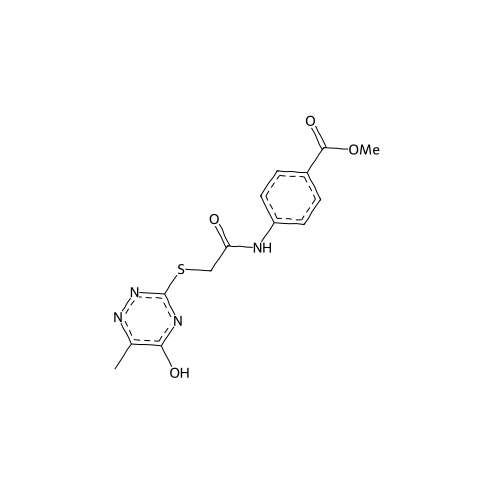 COC(=O)c1ccc(NC(=O)CSc2nnc(C)c(O)n2)cc1